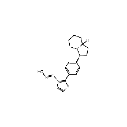 ON=Cc1ccsc1-c1ccc([C@@H]2CC[C@H]3CCCCN32)cc1